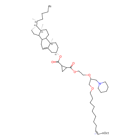 CCCCCCCC/C=C\CCCCCCCCOCC(CN1CCCCC1)OCCOC(=O)C1CC1C(=O)O[C@H]1CC[C@@]2(C)C(=CCC3C2CC[C@@]2(C)C3CC[C@@H]2[C@H](C)CCCC(C)C)C1